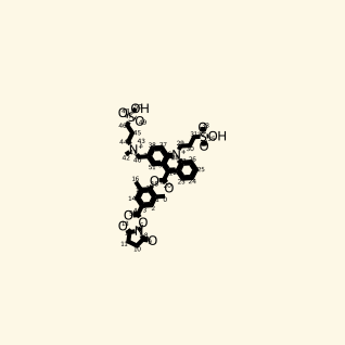 Cc1cc(C(=O)ON2C(=O)CCC2=O)cc(C)c1OC(=O)c1c2ccccc2[n+](CCCS(=O)(=O)O)c2ccc(C[N+](C)(C)CCCS(=O)(=O)O)cc12